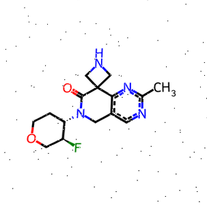 Cc1ncc2c(n1)C1(CNC1)C(=O)N([C@H]1CCOC[C@@H]1F)C2